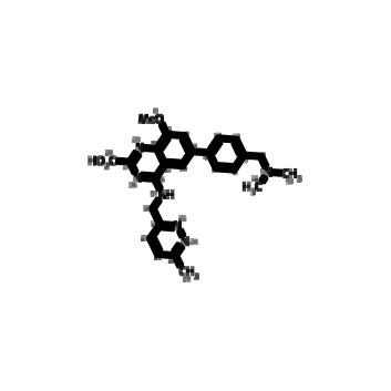 COc1cc(-c2ccc(CN(C)C)cc2)cc2c(NCc3ccc(C)nn3)nc(C(=O)O)nc12